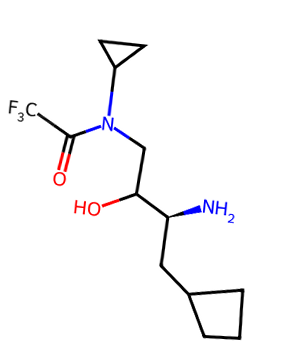 N[C@@H](CC1CCC1)C(O)CN(C(=O)C(F)(F)F)C1CC1